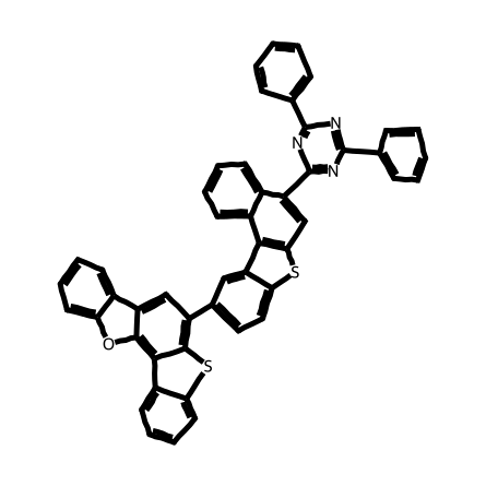 c1ccc(-c2nc(-c3ccccc3)nc(-c3cc4sc5ccc(-c6cc7c8ccccc8oc7c7c6sc6ccccc67)cc5c4c4ccccc34)n2)cc1